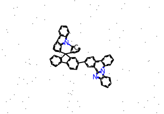 c1ccc2c(c1)-c1ccc(-c3ccc4c5ccccc5n5c6ccccc6nc5c4c3)cc1C21c2ccccc2-n2c3ccccc3c3cccc1c32